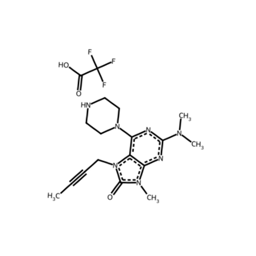 CC#CCn1c(=O)n(C)c2nc(N(C)C)nc(N3CCNCC3)c21.O=C(O)C(F)(F)F